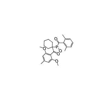 COc1cc(C)cc(OC)c1C(=O)C1([P](=O)C(=O)c2c(C)cccc2C)CCCCC1